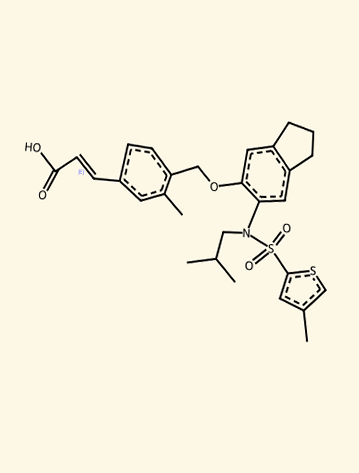 Cc1csc(S(=O)(=O)N(CC(C)C)c2cc3c(cc2OCc2ccc(/C=C/C(=O)O)cc2C)CCC3)c1